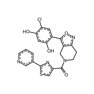 O=C(c1csc(-c2cccnc2)n1)N1CCc2noc(-c3cc(Cl)c(O)cc3O)c2C1